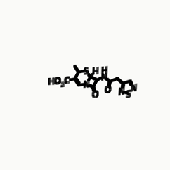 CC1S[C@@H]2C(NC(=O)Cc3cnsn3)C(=O)N2C=C1C(=O)O